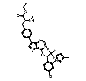 CCOC(=O)[C@H](Cc1ccc(-c2csc3c(O[C@H](c4ccc(Cl)cc4-n4ccc(C)n4)C(F)(F)F)ncnc23)cc1)NC